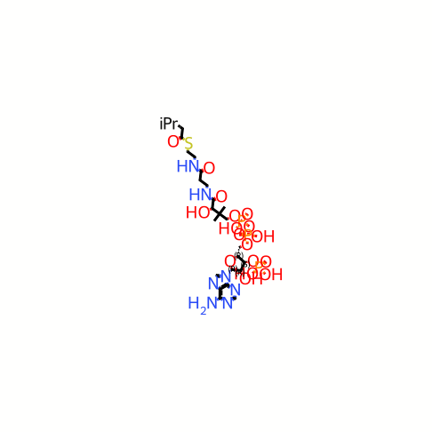 CC(C)CC(=O)SCCNC(=O)CCNC(=O)C(O)C(C)(C)COP(=O)(O)OP(=O)(O)OC[C@H]1O[C@@H](n2cnc3c(N)ncnc32)[C@H](O)[C@@H]1OP(=O)(O)O